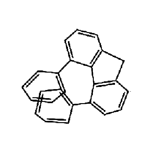 [c]1ccc(-c2ccccc2)c2c1Cc1cccc(-c3ccccc3)c1-2